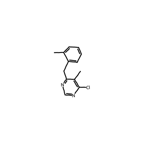 Cc1ccccc1Cc1ncnc(Cl)c1C